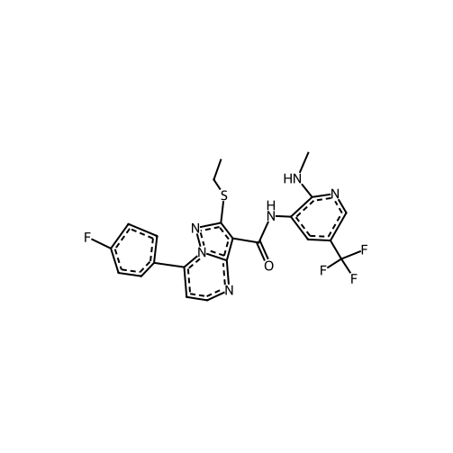 CCSc1nn2c(-c3ccc(F)cc3)ccnc2c1C(=O)Nc1cc(C(F)(F)F)cnc1NC